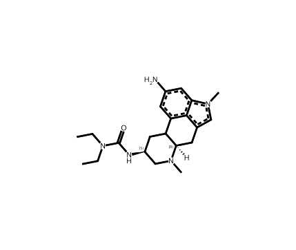 CCN(CC)C(=O)N[C@H]1CC2c3cc(N)cc4c3c(cn4C)C[C@H]2N(C)C1